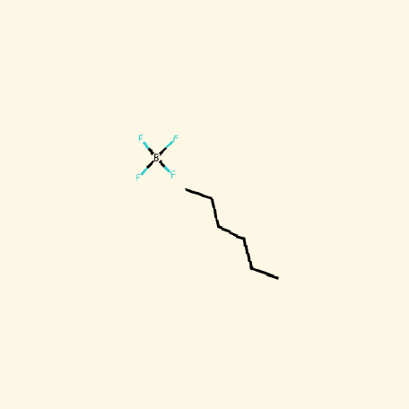 CCCCCC.F[B-](F)(F)F